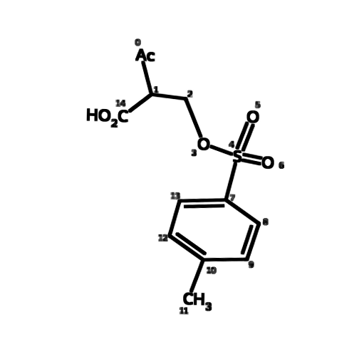 CC(=O)C(COS(=O)(=O)c1ccc(C)cc1)C(=O)O